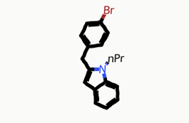 CCCn1c(Cc2ccc(Br)cc2)cc2ccccc21